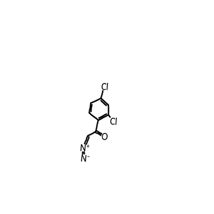 [N-]=[N+]=CC(=O)c1ccc(Cl)cc1Cl